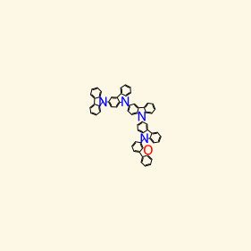 c1ccc2c(c1)oc1c(-n3c4ccccc4c4cc(-n5c6ccccc6c6cc(-n7c8ccccc8c8cc(-n9c%10ccccc%10c%10ccccc%109)ccc87)ccc65)ccc43)cccc12